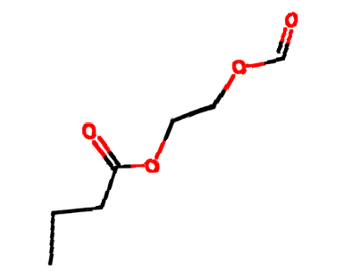 CCCC(=O)OCCOC=O